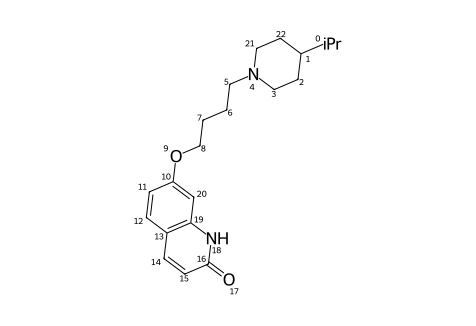 CC(C)C1CCN(CCCCOc2ccc3ccc(=O)[nH]c3c2)CC1